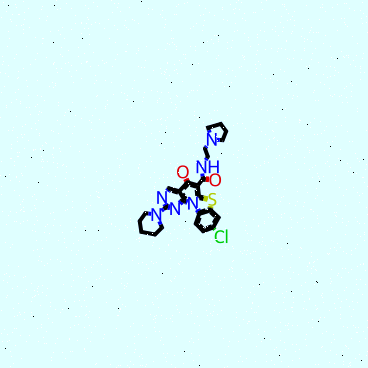 O=C(NCCN1CCCC1)c1c(=O)c2cnc(N3CCCCC3)nc2n2c1sc1cc(Cl)ccc12